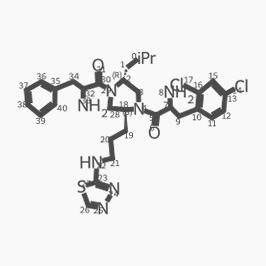 CC(C)C[C@@H]1CN(C(=O)C(N)Cc2ccc(Cl)cc2Cl)[C@@H](CCCNc2nncs2)CN1C(=O)C(N)Cc1ccccc1